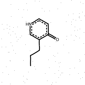 CCCc1c[nH]ccc1=O